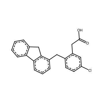 O=C(O)Cc1cc(Cl)ccc1Cc1cccc2c1Cc1ccccc1-2